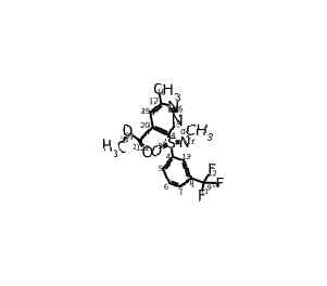 CN=S(=O)(c1cccc(C(F)(F)F)c1)c1nnc(C)cc1C(=O)OC